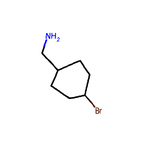 NCC1CCC(Br)CC1